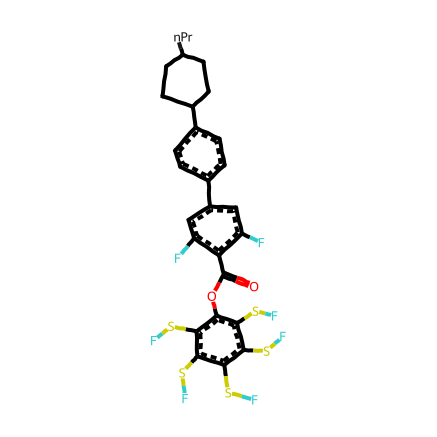 CCCC1CCC(c2ccc(-c3cc(F)c(C(=O)Oc4c(SF)c(SF)c(SF)c(SF)c4SF)c(F)c3)cc2)CC1